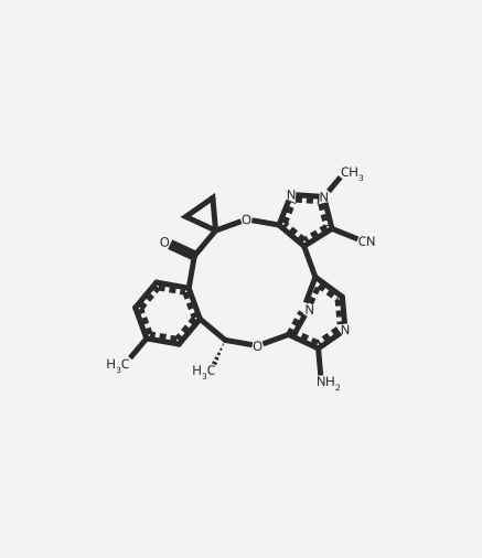 Cc1ccc2c(c1)[C@@H](C)Oc1nc(cnc1N)-c1c(nn(C)c1C#N)OC1(CC1)C2=O